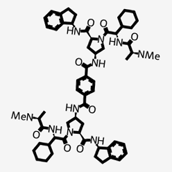 CN[C@@H](C)C(=O)N[C@H](C(=O)N1C[C@@H](NC(=O)c2ccc(C(=O)N[C@H]3C[C@@H](C(=O)N[C@@H]4CCc5ccccc54)N(C(=O)[C@@H](NC(=O)[C@H](C)NC)C4CCCCC4)C3)cc2)C[C@H]1C(=O)N[C@@H]1CCc2ccccc21)C1CCCCC1